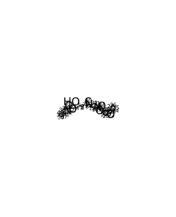 O=C(OCCCCCCN(C(=O)O)C1CCN(C(=O)Oc2ccc3oc4ccccc4c3c2)CC1)N1CCC2(CCCC2)CC1